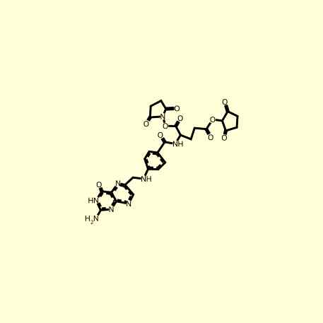 Nc1nc2ncc(CNc3ccc(C(=O)NC(CCC(=O)OC4C(=O)CCC4=O)C(=O)ON4C(=O)CCC4=O)cc3)nc2c(=O)[nH]1